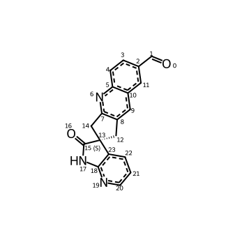 O=Cc1ccc2nc3c(cc2c1)C[C@@]1(C3)C(=O)Nc2ncccc21